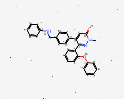 Cn1nc(-c2ccccc2Oc2ccccc2)c(-c2ccc(CNc3ccccc3)cc2)cc1=O